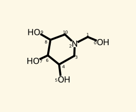 OCN1CC(O)C(O)C(O)C1